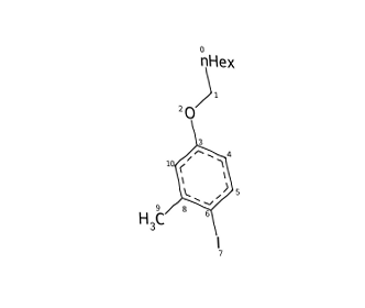 CCCCCCCOc1ccc(I)c(C)c1